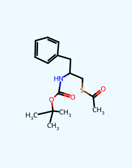 CC(=O)SCC(Cc1ccccc1)NC(=O)OC(C)(C)C